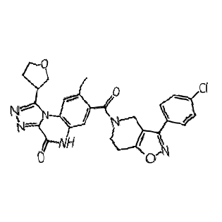 Cc1cc2c(cc1C(=O)N1CCc3onc(-c4ccc(Cl)cc4)c3C1)[nH]c(=O)c1nnc(C3CCOC3)n12